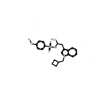 CCOc1ccc(S(=O)(=O)NC(Cc2cn(CC3CCC3)c3ccccc23)C(=O)O)cc1